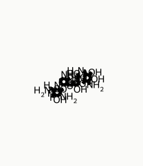 NCC1OC(OC2C(CO)OC(OC3C(O)C(N)CC(N)C3OC3OC(CN)C(F)(F)C(O)C3N)C2O)C(N)C(O)C1O